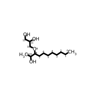 CCCCCCCCC(OCC(O)CO)C(C)O